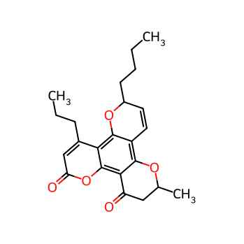 CCCCC1C=Cc2c3c(c4oc(=O)cc(CCC)c4c2O1)C(=O)CC(C)O3